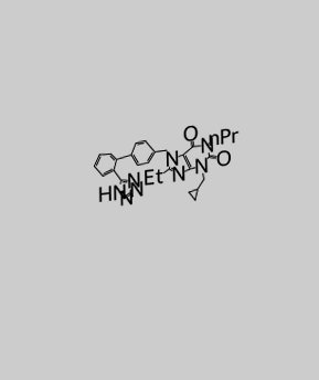 CCCn1c(=O)c2c(nc(CC)n2Cc2ccc(-c3ccccc3-c3nnn[nH]3)cc2)n(CC2CC2)c1=O